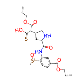 C=CCOC(=O)c1ccc([S+](C)[O-])c(NC(=O)C2C[C@@H]([C@@H](C(=O)OCC=C)C(O)=S)CN2)c1